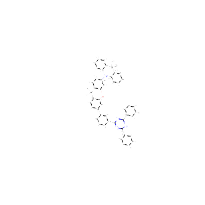 CC1(C)c2ccc(-c3cccc(-c4nc(-c5ccccc5)nc(-c5ccccc5)n4)c3)cc2Oc2cc(N3c4ccccc4C(C)(C)c4ccccc43)ccc21